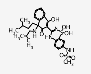 CC(C)CCC1(NCC(C)C)C(=O)C(C2=NS(O)(O)c3cc(NS(C)(=O)=O)ccc3N2)=C(O)c2ccccc21